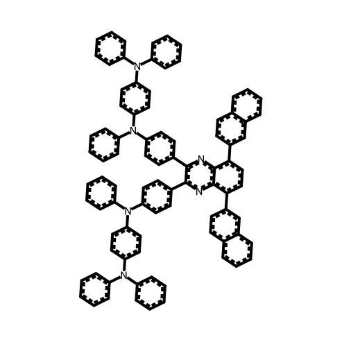 c1ccc(N(c2ccccc2)c2ccc(N(c3ccccc3)c3ccc(-c4nc5c(-c6ccc7ccccc7c6)ccc(-c6ccc7ccccc7c6)c5nc4-c4ccc(N(c5ccccc5)c5ccc(N(c6ccccc6)c6ccccc6)cc5)cc4)cc3)cc2)cc1